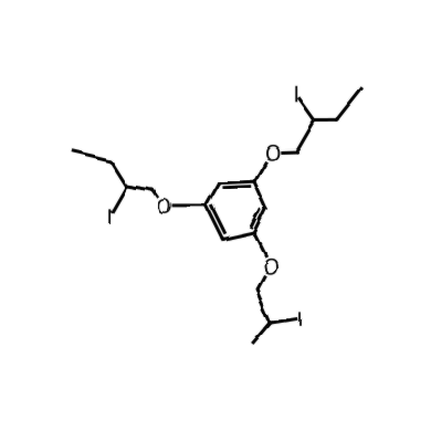 CCC(I)COc1cc(OCC(C)I)cc(OCC(I)CC)c1